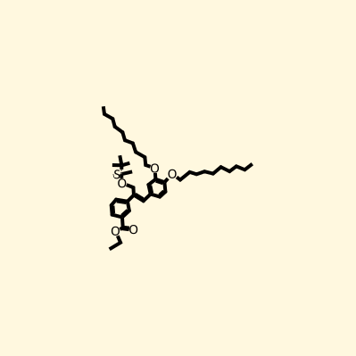 CCCCCCCCCCOc1ccc(C=C(CO[Si](C)(C)C(C)(C)C)c2cccc(C(=O)OCC)c2)cc1OCCCCCCCCCC